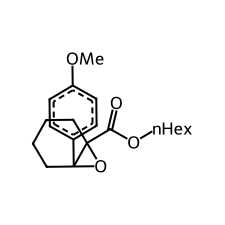 CCCCCCOC(=O)C12CCCCC1(c1ccc(OC)cc1)O2